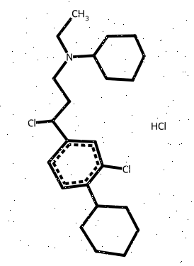 CCN(CCC(Cl)c1ccc(C2CCCCC2)c(Cl)c1)C1CCCCC1.Cl